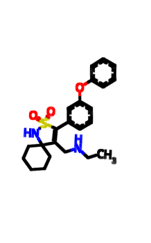 CCNCC1=C(c2cccc(Oc3ccccc3)c2)S(=O)(=O)NC12CCCCC2